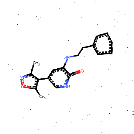 Cc1noc(C)c1-c1c[nH]c(=O)c(NCCc2ccccc2)c1